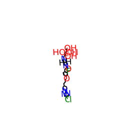 O=C(Cc1ccc(OCCCC2CCN(c3ncc(Cl)cn3)CC2)cc1F)N1C[C@H]2CN(C[C@H](O)[C@H](O)[C@H](O)CO)C[C@H]2C1